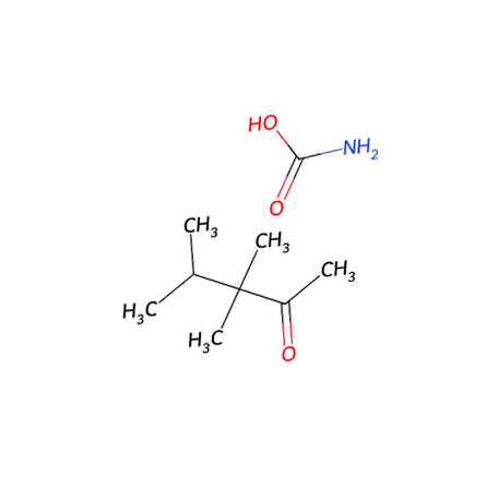 CC(=O)C(C)(C)C(C)C.NC(=O)O